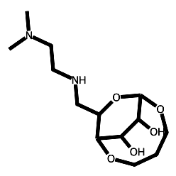 CN(C)CCNCC1OC2OCCCOC1C(O)C2O